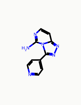 Nc1nccc2nnc(-c3ccncc3)n12